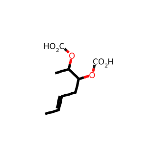 CC=CCC(OC(=O)O)C(C)OC(=O)O